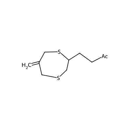 C=C1CSCC(CCC(C)=O)SC1